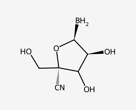 B[C@@H]1O[C@](C#N)(CO)C(O)[C@@H]1O